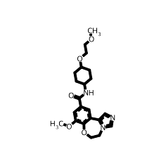 COCCOC1CCC(NC(=O)c2cc(OC)c3c(c2)-c2cncn2CCO3)CC1